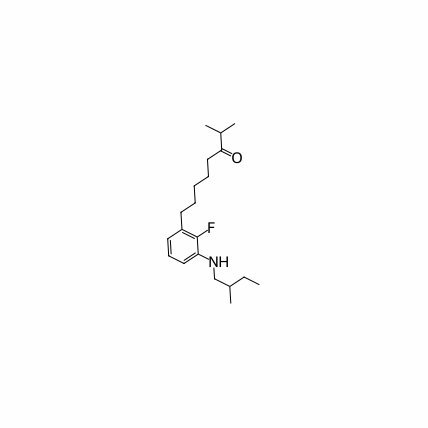 CCC(C)CNc1cccc(CCCCCC(=O)C(C)C)c1F